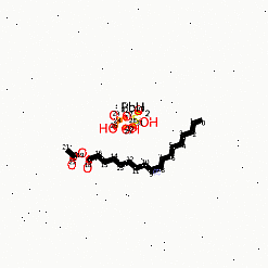 CCCCCCCC/C=C\CCCCCCCC(=O)OC(C)=O.O=P(O)(O)OS(=O)(=O)O.[PbH2]